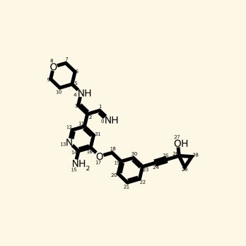 N=C/C(=C\NC1CCOCC1)c1cnc(N)c(OCc2cccc(C#CC3(O)CC3)c2)c1